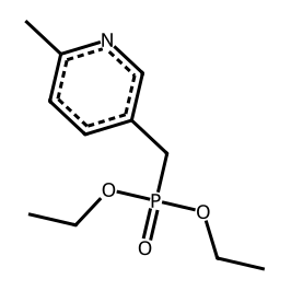 CCOP(=O)(Cc1ccc(C)nc1)OCC